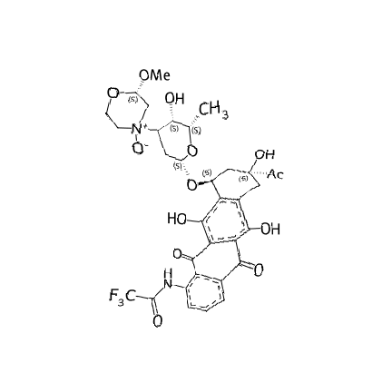 CO[C@@H]1C[N+]([O-])(C2C[C@@H](O[C@H]3C[C@](O)(C(C)=O)Cc4c(O)c5c(c(O)c43)C(=O)c3c(NC(=O)C(F)(F)F)cccc3C5=O)O[C@@H](C)[C@H]2O)CCO1